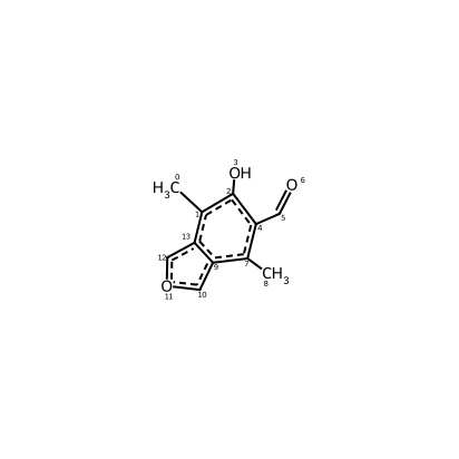 Cc1c(O)c(C=O)c(C)c2cocc12